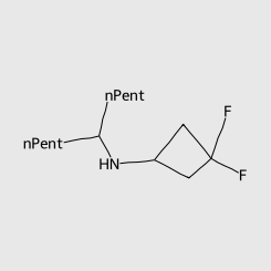 CCCCCC(CCCCC)NC1CC(F)(F)C1